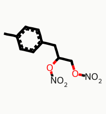 Cc1ccc(CC(CO[N+](=O)[O-])O[N+](=O)[O-])cc1